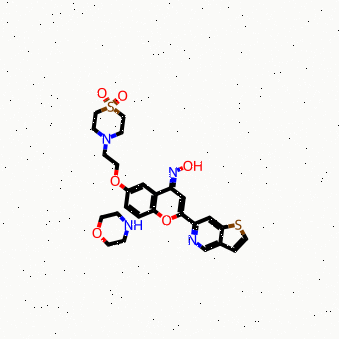 C1COCCN1.O=S1(=O)CCN(CCOc2ccc3oc(-c4cc5sccc5cn4)cc(=NO)c3c2)CC1